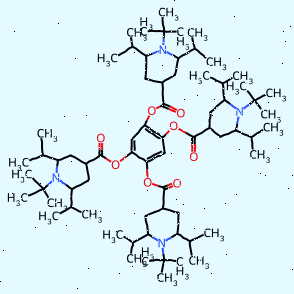 CC(C)C1CC(C(=O)Oc2cc(OC(=O)C3CC(C(C)C)N(C(C)(C)C)C(C(C)C)C3)c(OC(=O)C3CC(C(C)C)N(C(C)(C)C)C(C(C)C)C3)cc2OC(=O)C2CC(C(C)C)N(C(C)(C)C)C(C(C)C)C2)CC(C(C)C)N1C(C)(C)C